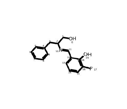 OCC(Cc1ccccc1)N=Cc1cccc(F)c1O